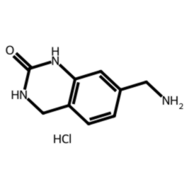 Cl.NCc1ccc2c(c1)NC(=O)NC2